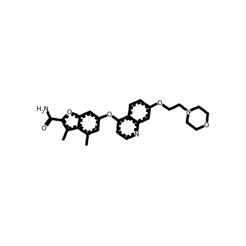 Cc1cc(Oc2ccnc3cc(OCCN4CCOCC4)ccc23)cc2oc(C(N)=O)c(C)c12